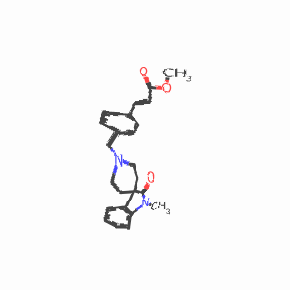 COC(=O)C=Cc1ccc(CN2CCC3(CC2)C(=O)N(C)c2ccccc23)cc1